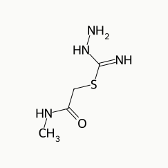 CNC(=O)CSC(=N)NN